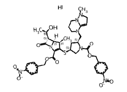 C[C@@H](O)[C@H]1C(=O)N2C(C(=O)OCc3ccc([N+](=O)[O-])cc3)=C(S[C@H]3C[C@@H](CN4CCCN5C4=CCN5C)N(C(=O)OCc4ccc([N+](=O)[O-])cc4)C3)[C@H](C)[C@H]12.I